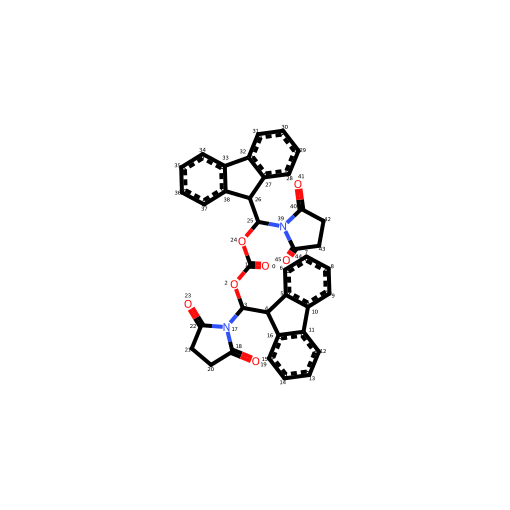 O=C(OC(C1c2ccccc2-c2ccccc21)N1C(=O)CCC1=O)OC(C1c2ccccc2-c2ccccc21)N1C(=O)CCC1=O